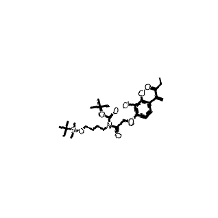 C=C(C(=O)CC)c1ccc(OCC(=O)N(CCCCO[Si](C)(C)C(C)(C)C)C(=O)OC(C)(C)C)c(Cl)c1Cl